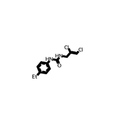 CCc1ccc(NC(=O)NCC(Cl)=CCl)cc1